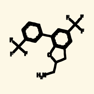 NCC1Cc2cc(C(F)(F)F)cc(-c3cccc(C(F)(F)F)c3)c2O1